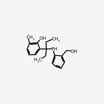 CCC(CC)(Pc1ccccc1CO)c1cccc(C)c1O